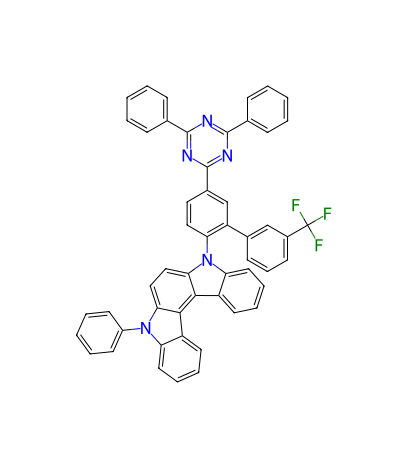 FC(F)(F)c1cccc(-c2cc(-c3nc(-c4ccccc4)nc(-c4ccccc4)n3)ccc2-n2c3ccccc3c3c4c5ccccc5n(-c5ccccc5)c4ccc32)c1